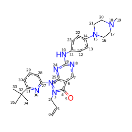 C=CCn1c(=O)c2cnc(Nc3ccc(N4CCN(C)CC4)cc3)nc2n1-c1cccc(C(C)(C)C)n1